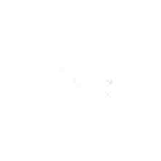 CCN(O)c1ncc2[nH]nc(C(C)C)c2n1